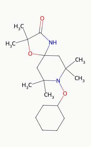 CC1(C)OC2(CC(C)(C)N(OC3CCCCC3)C(C)(C)C2)NC1=O